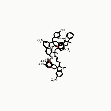 CCCC[N+]1=C(/C=C/C=C2/N(C)c3ccc([N+](=O)[O-])cc3C2(Cc2ccc([N+](=O)[O-])cc2)Cc2ccc([N+](=O)[O-])cc2)C(C)(Cc2ccc(CC3(C)C(/C=C/C=C4/N(C)c5ccc([N+](=O)[O-])cc5C4(Cc4ccc([N+](=O)[O-])cc4)Cc4ccc([N+](=O)[O-])cc4)=[N+](CCCC)c4ccccc43)cc2)c2ccccc21